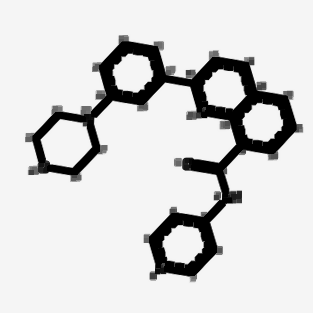 O=C(Nc1ccncc1)c1cccc2ccc(-c3cccc(N4CCOCC4)c3)nc12